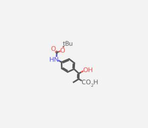 CC(C(=O)O)=C(O)c1ccc(NC(=O)OC(C)(C)C)cc1